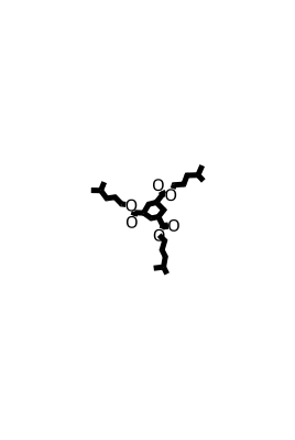 CC(C)CCCOC(=O)C1CC(C(=O)OCCCC(C)C)CC(C(=O)OCCCC(C)C)C1